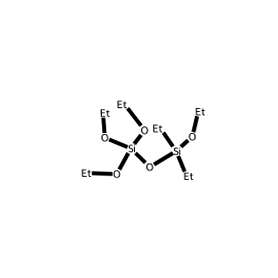 CCO[Si](CC)(CC)O[Si](OCC)(OCC)OCC